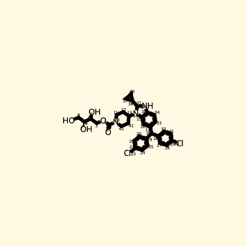 O=C(OCC(O)[C@H](O)CO)N1CCC(N2c3cc(C(c4ccc(Cl)cc4)c4ccc(Cl)cc4)ccc3NC2C2CC2)CC1